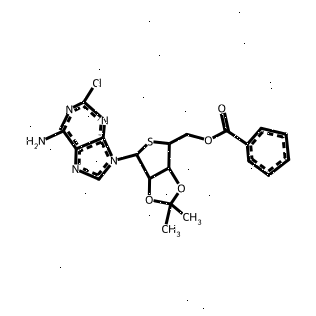 CC1(C)OC2C(COC(=O)c3ccccc3)SC(n3cnc4c(N)nc(Cl)nc43)C2O1